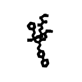 COC(=O)[C@H](CCNC(=O)OC(C)(C)C)NC(=O)[C@@H](CCc1ccc(-c2ccccc2)cc1)CP(=O)(O)CCc1ccccc1